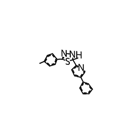 Cc1ccc(C2=NNC(C)(c3ccc(-c4ccccc4)cn3)S2)cc1